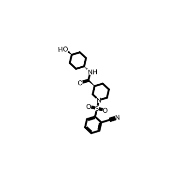 N#Cc1ccccc1S(=O)(=O)N1CCC[C@H](C(=O)N[C@H]2CC[C@H](O)CC2)C1